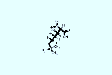 [2H]N([2H])[C@]([2H])(C(=O)O)C([2H])([2H])C([2H])([2H])C([2H])([2H])C[N+](C)(C)C